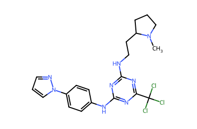 CN1CCCC1CCNc1nc(Nc2ccc(-n3cccn3)cc2)nc(C(Cl)(Cl)Cl)n1